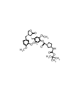 COc1ccc(C[C@H]2COC(=O)[C@@H]2Cc2ccc(OC(=O)N3CC[C@@H](NC(=O)OC(C)(C)C)C3)c(OC)c2)cc1OC